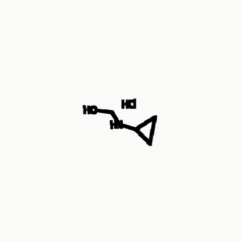 Cl.OCNC1CC1